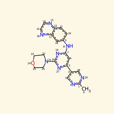 Cc1ncc(-c2cc(Nc3ccc4nccnc4c3)nc(N3CCOCC3)n2)cn1